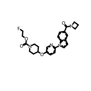 O=C(OCCF)N1CCC(Oc2ccc(-n3ccc4cc(C(=O)N5CCC5)ccc43)nc2)CC1